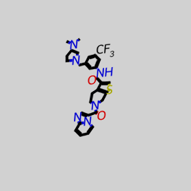 CN(C)C1CCN(Cc2cc(NC(=O)c3csc4c3CCN(C(=O)c3cnc5ccccn35)C4)cc(C(F)(F)F)c2)C1